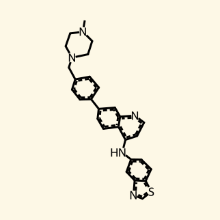 CN1CCN(Cc2ccc(-c3ccc4c(Nc5ccc6scnc6c5)ccnc4c3)cc2)CC1